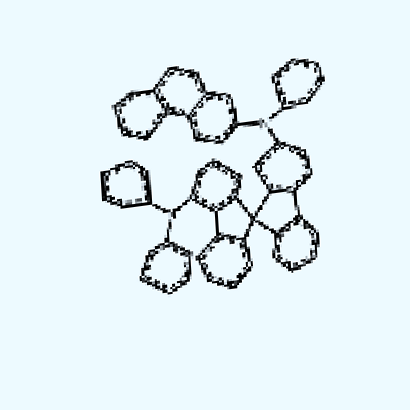 c1ccc(N(c2ccc3c(c2)C2(c4ccccc4-3)c3ccccc3-c3c(N(c4ccccc4)c4ccccc4)cccc32)c2ccc3c(ccc4ccccc43)c2)cc1